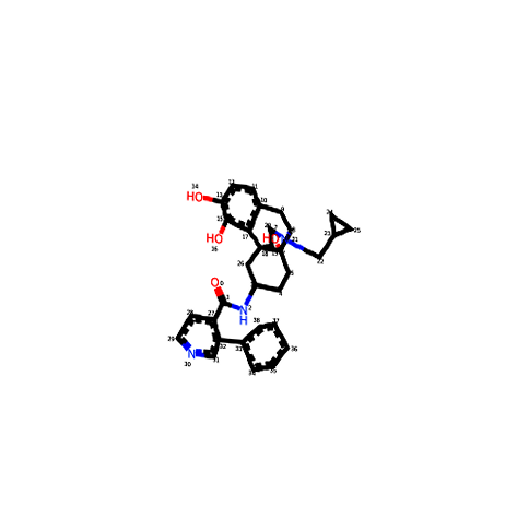 O=C(NC1CCC2(O)C3Cc4ccc(O)c(O)c4C2(CCN3CC2CC2)C1)c1ccncc1-c1ccccc1